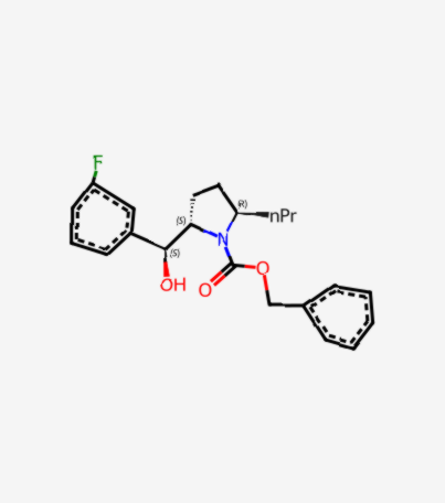 CCC[C@@H]1CC[C@@H]([C@@H](O)c2cccc(F)c2)N1C(=O)OCc1ccccc1